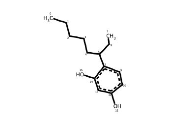 CCCCCC(CC)c1ccc(O)cc1O